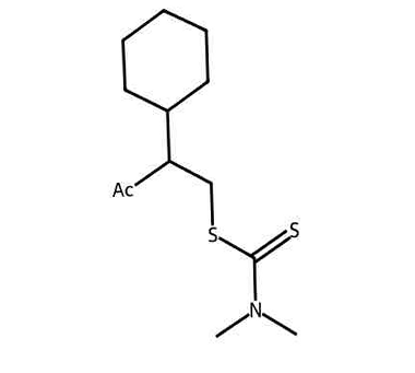 CC(=O)C(CSC(=S)N(C)C)C1CCCCC1